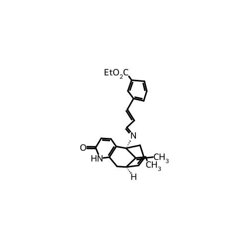 C/C=C1\[C@H]2C=C(C)C[C@]1(/N=C/C=C/c1cccc(C(=O)OCC)c1)c1ccc(=O)[nH]c1C2